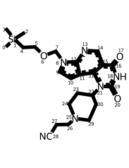 C[Si](C)(C)CCOCn1ccc2c1ncc1c(=O)[nH]c(=O)n(C3CCN(CCC#N)CC3)c12